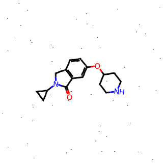 O=C1c2cc(OC3CCNCC3)ccc2CN1C1CC1